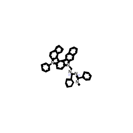 C=N/C(=N\C(=N/Cn1c2cc3ccccc3cc2c2c3c4c5ccccc5ccc4n(-c4ccccc4)c3ccc21)C1=CC=CCC1)c1ccccc1